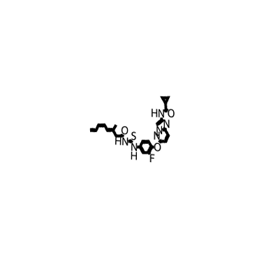 C=C/C=C\C=C(/C)CC(=O)NC(=S)Nc1ccc(Oc2ccc3nc(NC(=O)C4CC4)cn3n2)c(F)c1